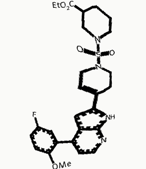 CCOC(=O)C1CCCN(S(=O)(=O)N2CC=C(c3cc4c(-c5cc(F)ccc5OC)ccnc4[nH]3)CC2)C1